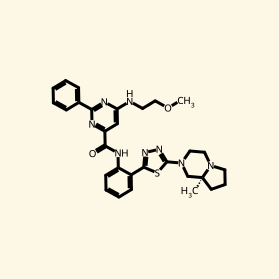 COCCNc1cc(C(=O)Nc2ccccc2-c2nnc(N3CCN4CCC[C@@]4(C)C3)s2)nc(-c2ccccc2)n1